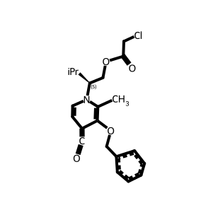 CC1=C(OCc2ccccc2)C(=C=O)C=CN1[C@H](COC(=O)CCl)C(C)C